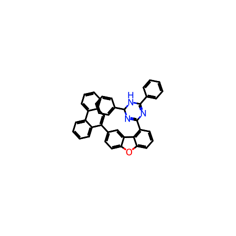 c1ccc(C2=NC(c3cccc4oc5ccc(-c6cc7ccccc7c7ccccc67)cc5c34)=NC(c3ccccc3)N2)cc1